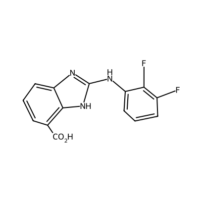 O=C(O)c1cccc2nc(Nc3cccc(F)c3F)[nH]c12